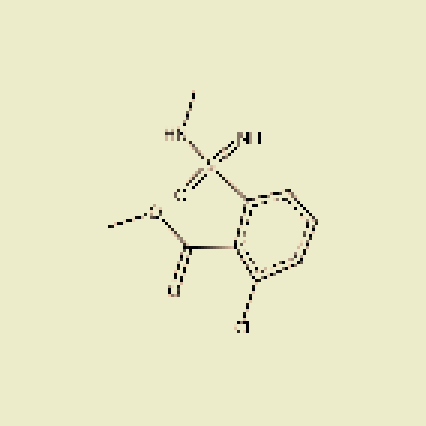 CNS(=N)(=O)c1cccc(Cl)c1C(=O)OC